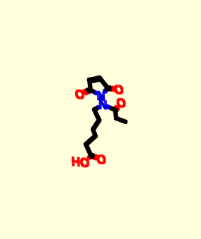 CCC(=O)N(CCCCCC(=O)O)N1C(=O)C=CC1=O